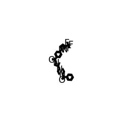 O=C(c1ccccc1)N1CCN(C2CN(C(=O)c3ccc(-n4ccc(C(F)(F)F)n4)cc3)C2)CC1